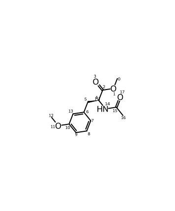 COC(=O)[C@H](Cc1cccc(OC)c1)NC(C)=O